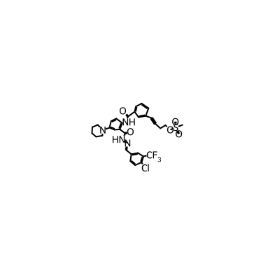 CS(=O)(=O)OCCC#Cc1cccc(C(=O)Nc2ccc(N3CCCCC3)cc2C(=O)N/N=C/c2ccc(Cl)c(C(F)(F)F)c2)c1